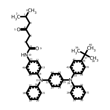 CC(C)CC(=O)CCC(=O)Nc1ccc(N(c2ccccc2)c2ccc(N(c3ccccc3)c3ccc(C(C)(C)C)cc3)cc2)cc1